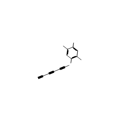 C#CC#CC#COc1cc(C)c(C=O)cc1C